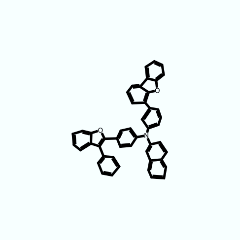 c1ccc(-c2c(-c3ccc(N(c4cccc(-c5cccc6c5oc5ccccc56)c4)c4ccc5ccccc5c4)cc3)oc3ccccc23)cc1